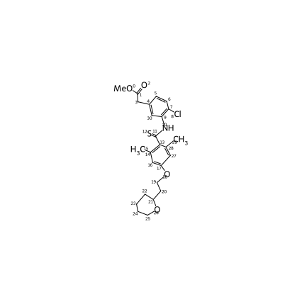 COC(=O)Cc1ccc(Cl)c(NC(=S)c2c(C)cc(OCCC3CCCCO3)cc2C)c1